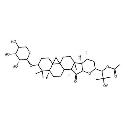 CC(=O)OC(C1C[C@@H](C)[C@H]2C(O1)C(=O)[C@@]1(C)C3CC[C@H]4C(C)(C)C(O[C@@H]5OCC(O)C(O)[C@H]5O)CCC45CC35CCC21C)C(C)(C)O